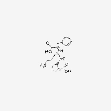 NCCC[C@H](N[C@@H](Cc1ccccc1)C(=O)O)C(=O)N1CCC[C@H]1C(=O)O